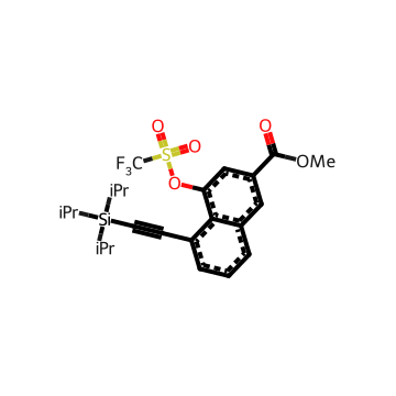 COC(=O)c1cc(OS(=O)(=O)C(F)(F)F)c2c(C#C[Si](C(C)C)(C(C)C)C(C)C)cccc2c1